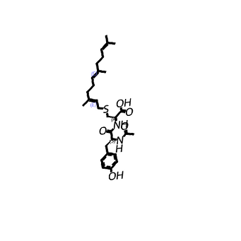 CC(=O)N[C@@H](Cc1ccc(O)cc1)C(=O)N[C@@H](CSC/C=C(\C)CC/C=C(\C)CCC=C(C)C)C(=O)O